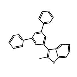 Cc1sc2ccccc2c1-c1cc(-c2ccccc2)cc(-c2ccccc2)c1